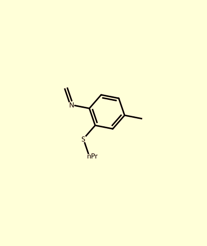 C=Nc1ccc(C)cc1SCCC